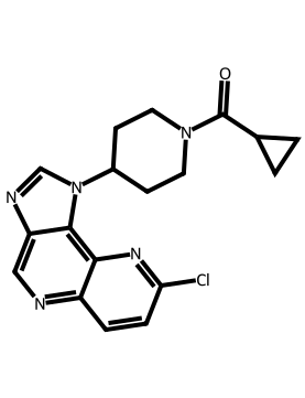 O=C(C1CC1)N1CCC(n2cnc3cnc4ccc(Cl)nc4c32)CC1